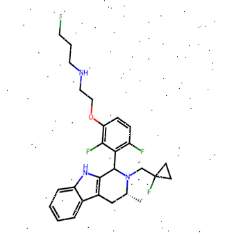 C[C@@H]1Cc2c([nH]c3ccccc23)C(c2c(F)ccc(OCCNCCCF)c2F)N1CC1(F)CC1